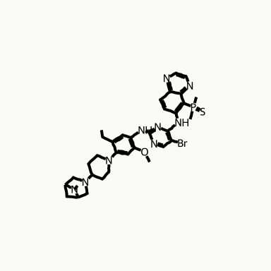 CCc1cc(Nc2ncc(Br)c(Nc3ccc4nccnc4c3P(C)(C)=S)n2)c(OC)cc1N1CCC(N2CC3CC(C2)N3C)CC1